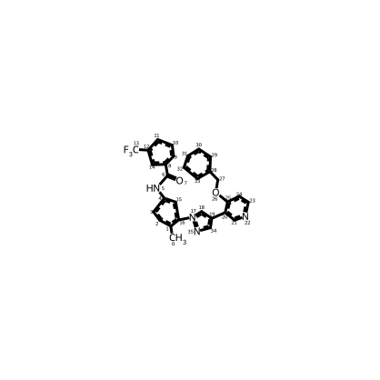 Cc1ccc(NC(=O)c2cccc(C(F)(F)F)c2)cc1-n1cc(-c2cnccc2OCc2ccccc2)cn1